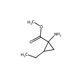 CCC1CC1(N)C(=O)OC